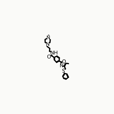 Cc1oc(-c2ccc(C(=O)NCCCN3CCN(C)CC3)cc2)nc1CSc1ccccc1